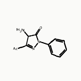 CC(=O)C1=NN(c2ccccc2)C(=O)C1N